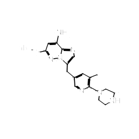 CCCCOc1cc(N)c2ncc(Cc3cnc(N4CCNCC4)c(C)c3)n2n1